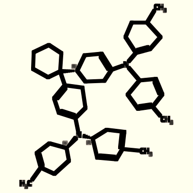 CC1=CCC(N(C2=CCC(C)CC2)C2=CC[C@@H](C3(C4=CC=C(N([C@@H]5CC=C(C)CC5)[C@H]5C=CC(C)=CC5)CC4)CCCCC3)CC2)C=C1